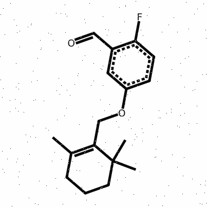 CC1=C(COc2ccc(F)c(C=O)c2)C(C)(C)CCC1